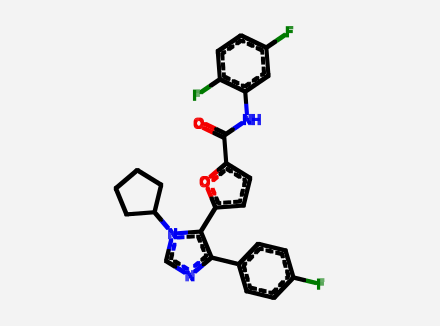 O=C(Nc1cc(F)ccc1F)c1ccc(-c2c(-c3ccc(F)cc3)ncn2C2CCCC2)o1